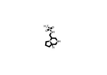 CS(=O)(=O)NCC1CNC[C@@H]2CCCN12